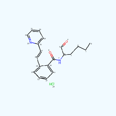 CCCCC(C=O)NC(=O)c1ccccc1C=Cc1ccccn1.Cl